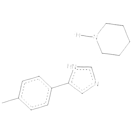 [2H]N1CCCC[C@@H]1c1ncc(-c2ccc(C)cc2)[nH]1